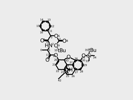 CC(NC(=O)C(OC(=O)OC(C)(C)C)c1ccccc1)C(=O)OC1=CCC2(O)C3Cc4ccc(O[Si](C)(C)C(C)(C)C)c5c4C2(CCN3C)C1O5